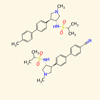 CC(C)S(=O)(=O)N[C@H]1CN(C)C[C@@H]1c1ccc(-c2ccc(C#N)cc2)cc1.Cc1ccc(-c2ccc([C@H]3CN(C)C[C@@H]3NS(=O)(=O)C(C)C)cc2)cc1